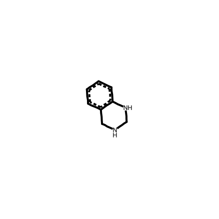 c1ccc2c(c1)CNCN2